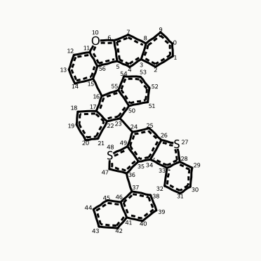 c1ccc2cc3c(cc2c1)oc1cccc(-c2c4ccccc4c(-c4cc5sc6ccccc6c5c5c(-c6cccc7ccccc67)csc45)c4ccccc24)c13